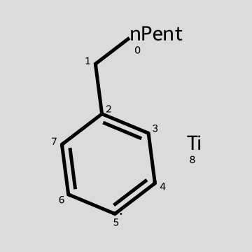 CCCCCCc1cc[c]cc1.[Ti]